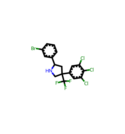 FC(F)(F)C1(c2cc(Cl)c(Cl)c(Cl)c2)CNC(c2cccc(Br)c2)C1